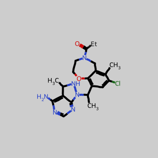 CCC(=O)N1CCOc2c(C(C)N3NC(C)c4c(N)ncnc43)cc(Cl)c(C)c2C1